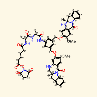 COc1cc2c(cc1OCc1cc(COc3cc4c(cc3OC)C(=O)N3c5ccccc5C[C@H]3N4)cc(NC(=O)[C@H](C)NC(=O)[C@H](C)NC(=O)CCCCC(=O)ON3C(=O)CCC3=O)c1)NC[C@H]1Cc3ccccc3N1C2=O